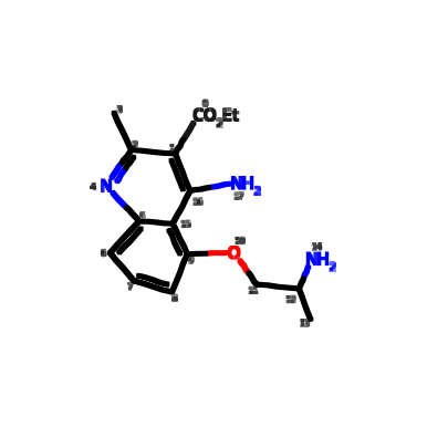 CCOC(=O)c1c(C)nc2cccc(OCC(C)N)c2c1N